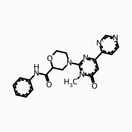 Cn1c(N2CCOC(C(=O)Nc3ccccc3)C2)nc(-c2ccncn2)cc1=O